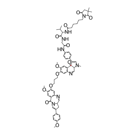 COc1ccc(C2=CN3C(=O)c4cc(OC)c(OCCCOc5cc(/N=C\C6CC(c7ccc(NC(=O)CNC(=O)C(NC(=O)CCCCCN8C(=O)CC(C)(C)C8=O)C(C)C)cc7)=CN6C)c(C=O)cc5OC)cc4N=CC3C2)cc1